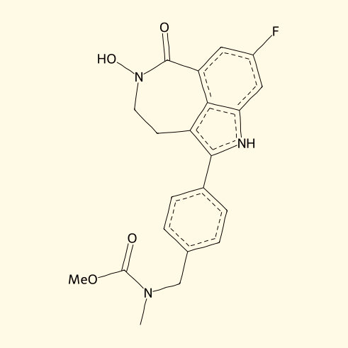 COC(=O)N(C)Cc1ccc(-c2[nH]c3cc(F)cc4c3c2CCN(O)C4=O)cc1